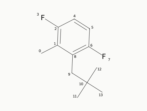 Cc1c(F)ccc(F)c1CC(C)(C)C